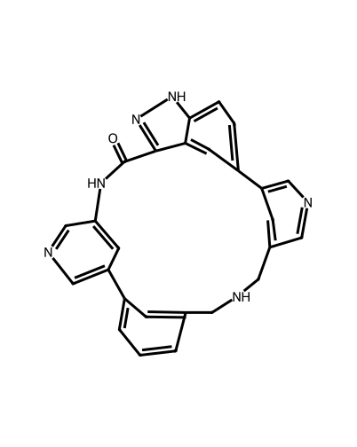 O=C1Nc2cncc(c2)-c2cccc(c2)CNCc2cncc(c2)-c2ccc3[nH]nc1c3c2